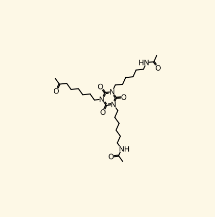 CC(=O)CCCCCCn1c(=O)n(CCCCCCNC(C)=O)c(=O)n(CCCCCCNC(C)=O)c1=O